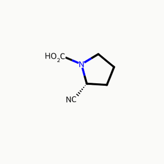 N#C[C@H]1CCCN1C(=O)O